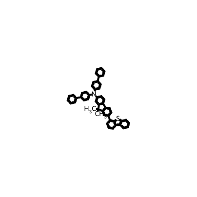 CC1(C)c2cc(-c3cccc4c3sc3ccccc34)ccc2-c2ccc(N(c3ccc(-c4ccccc4)cc3)c3ccc(-c4ccccc4)cc3)cc21